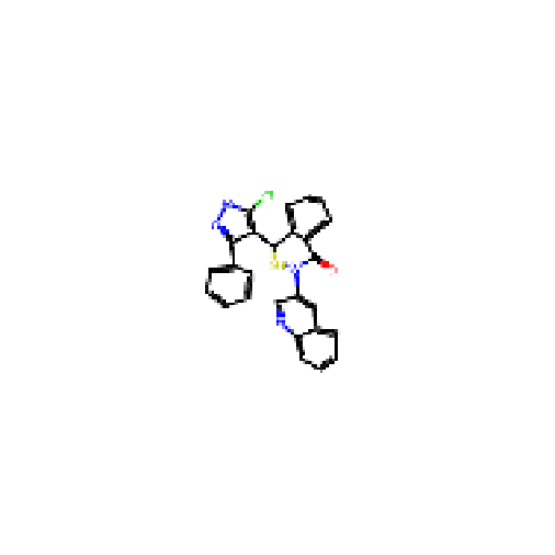 O=C(Nc1cnc2ccccc2c1)c1ccccc1C(S)C1=C(Cl)[N]N=C1c1ccccc1